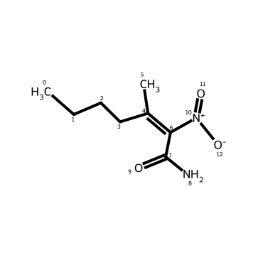 CCCC/C(C)=C(\C(N)=O)[N+](=O)[O-]